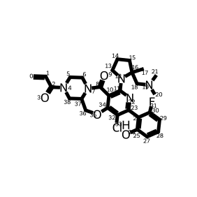 C=CC(=O)N1CCN2C(=O)c3c(N4CCCC4(C)CN(C)C)nc(-c4c(O)cccc4F)c(Cl)c3OCC2C1